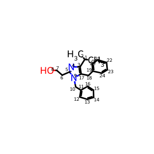 CC(C)c1nc(CCO)n(Cc2ccccc2)c1Cc1ccccc1